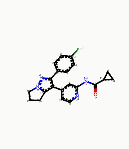 O=C(Nc1cc(-c2c(-c3ccc(F)cc3)nn3c2CCC3)ccn1)C1CC1